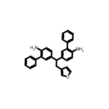 Nc1ccc(C(Cc2ccoc2)c2ccc(N)c(-c3ccccc3)c2)cc1-c1ccccc1